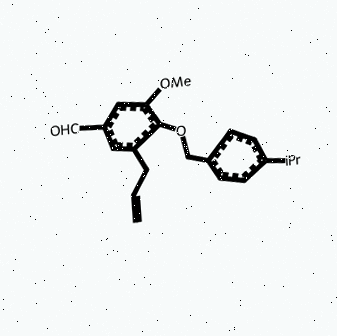 C=CCc1cc(C=O)cc(OC)c1OCc1ccc(C(C)C)cc1